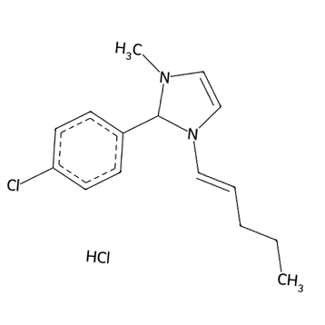 CCCC=CN1C=CN(C)C1c1ccc(Cl)cc1.Cl